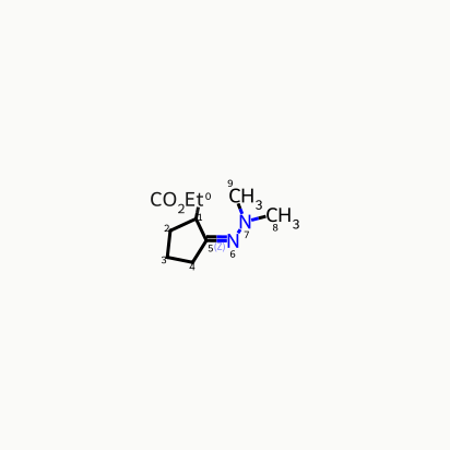 CCOC(=O)C1CCC/C1=N/N(C)C